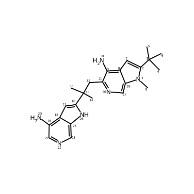 Cn1c(C(C)(C)C)cc2c(N)c(CC(C)(C)c3cc4c(N)cncc4[nH]3)ncc21